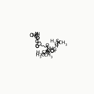 CN(C)C1CN(CCc2cc(-n3nc(C(C)(C)C)cc3NC(=O)CCCC3CC[C@@H](Oc4ccc5nnc(N6CCCCC6)n5c4)c4ccccc43)ccc2F)C1